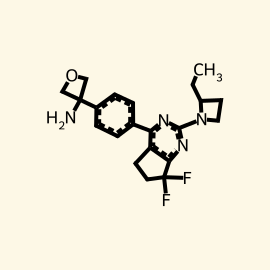 CCC1CCN1c1nc(-c2ccc(C3(N)COC3)cc2)c2c(n1)C(F)(F)CC2